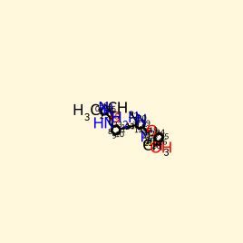 Cc1cc(C(=O)Nc2cccc(C#Cc3cc(C(=O)N=S(C)c4ccccc4O)cnc3N)c2)n(C)n1